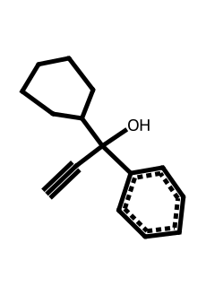 C#CC(O)(c1ccccc1)C1CCCCC1